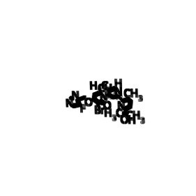 CC1=CN[C@@H](c2nc(C(C)(C)O)ccc2C)C[C@H]1n1c(C)cc(OCc2ncncc2F)c(Br)c1=O